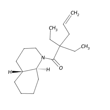 C=CCC(CC)(CC)C(=O)N1CCC[C@H]2CCCC[C@@H]21